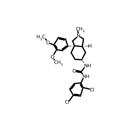 COc1ccc([C@@]23CC[C@@H](NC(=O)Nc4ccc(Cl)cc4Cl)C[C@@H]2CN(C)C3)cc1OC